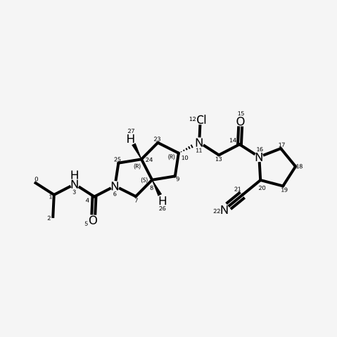 CC(C)NC(=O)N1C[C@H]2C[C@@H](N(Cl)CC(=O)N3CCCC3C#N)C[C@H]2C1